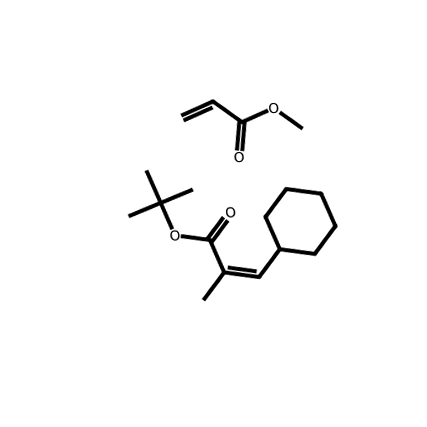 C=CC(=O)OC.CC(=CC1CCCCC1)C(=O)OC(C)(C)C